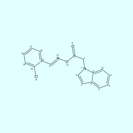 O=C(Cn1ccc2ccccc21)ON=Cc1ccccc1Cl